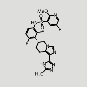 COc1ncc(F)cc1S(=O)(=O)Nc1ccc(F)c([C@H]2CCc3c(-c4nnc(C)[nH]4)ncn3C2)c1F